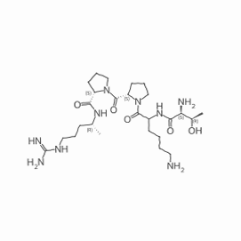 C[C@H](CCCNC(=N)N)NC(=O)[C@@H]1CCCN1C(=O)[C@@H]1CCCN1C(=O)C(CCCCN)NC(=O)[C@@H](N)[C@@H](C)O